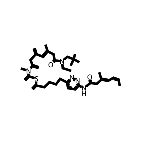 C=C(/C=C(\C)CC(=O)N(CC)CC(C)(C)C)CC(=C)N(C)C(=C)SC(=C)CCCCc1ccc(NC(=O)C/C(C)=C/C=C\C)nn1